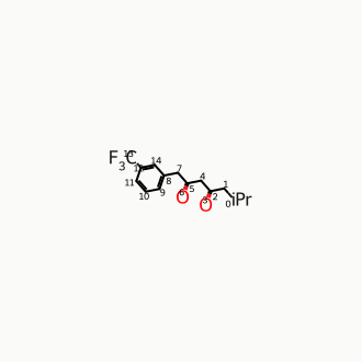 CC(C)CC(=O)CC(=O)Cc1cccc(C(F)(F)F)c1